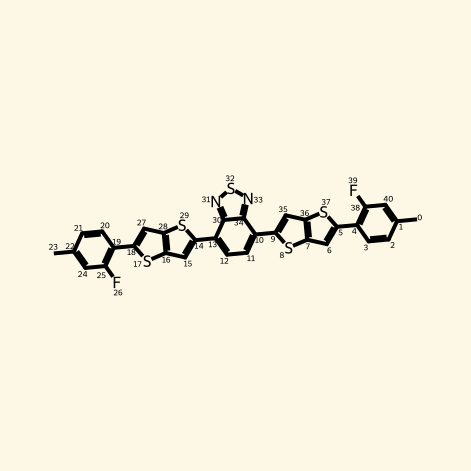 Cc1ccc(-c2cc3sc(-c4ccc(-c5cc6sc(-c7ccc(C)cc7F)cc6s5)c5nsnc45)cc3s2)c(F)c1